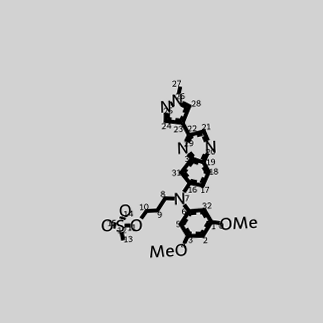 COc1cc(OC)cc(N(CCCOS(C)(=O)=O)c2ccc3ncc(-c4cnn(C)c4)nc3c2)c1